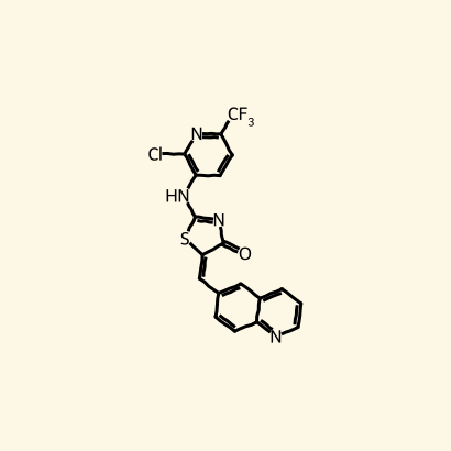 O=C1N=C(Nc2ccc(C(F)(F)F)nc2Cl)SC1=Cc1ccc2ncccc2c1